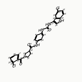 O=C(Nc1ccc(NC(=O)C2CCN(C(=O)c3ccccc3Cl)C2)cc1)Nc1c[nH]c2ccc(Cl)cc12